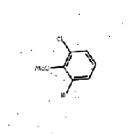 COc1c(Cl)c[c]cc1Br